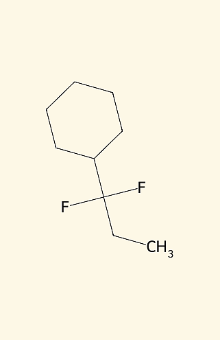 CCC(F)(F)C1CCCCC1